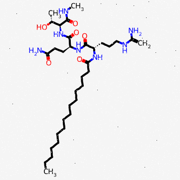 C=C(N)NCCC[C@H](NC(=O)CCCCCCCCCCCCCCC)C(=O)N[C@@H](CCC(N)=O)C(=O)N[C@H](C(=O)NC)[C@@H](C)O